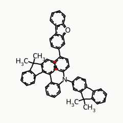 CC1(C)c2ccccc2-c2ccc(N(c3ccc(-c4ccc5c(c4)oc4ccccc45)cc3)c3ccccc3-c3cccc4c3-c3ccccc3C4(C)C)cc21